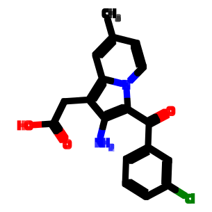 Cc1ccn2c(C(=O)c3cccc(Cl)c3)c(N)c(CC(=O)O)c2c1